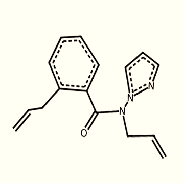 C=CCc1ccccc1C(=O)N(CC=C)n1cccn1